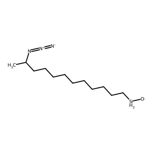 CC(CCCCCCCCCC[SiH2][O])N=[N+]=[N-]